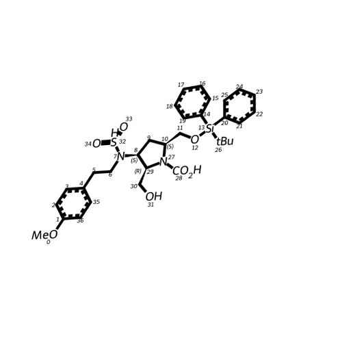 COc1ccc(CCN([C@H]2C[C@@H](CO[Si](c3ccccc3)(c3ccccc3)C(C)(C)C)N(C(=O)O)[C@H]2CO)[SH](=O)=O)cc1